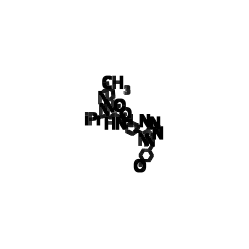 Cc1ccc(-n2nc(C(C)C)cc(C(=O)Nc3ccc(-c4nn(CC5CCC(=O)CC5)c5ncnc(N)c45)cc3)c2=O)nc1